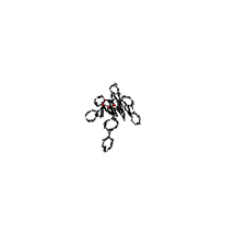 C1=CCC(c2nc(-c3ccc(-c4ccccc4)cc3)nc(-n3c4ccccc4c4ccc5c6ccccc6n(-c6ccc(-c7ccccc7)cc6)c5c43)n2)C=C1